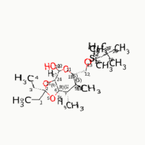 CCC1(CC)O[C@@H]2[C@@H](C)[C@H](C)[C@@H](CO[Si](C)(C)C(C)(C)C)OC(O)[C@@H]2O1